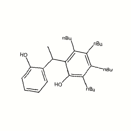 CCCCc1c(O)c(C(C)c2ccccc2O)c(CCCC)c(CCCC)c1CCCC